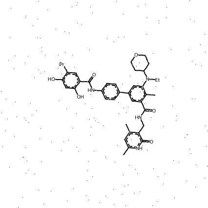 CCN(c1cc(-c2ccc(NC(=O)c3cc(C(C)C)c(O)cc3O)cc2)cc(C(=O)NCc2c(C)cc(C)[nH]c2=O)c1C)C1CCOCC1